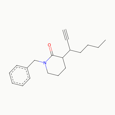 C#CC(CCCC)C1CCCN(Cc2ccccc2)C1=O